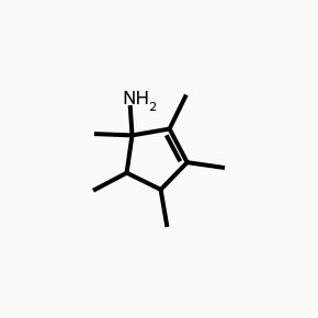 CC1=C(C)C(C)(N)C(C)C1C